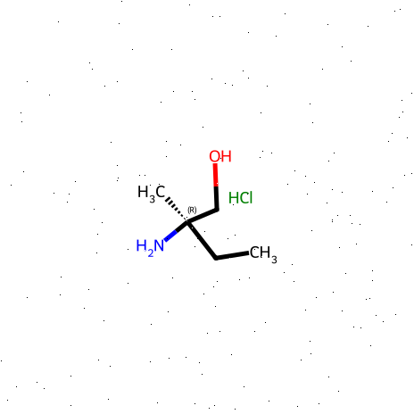 CC[C@@](C)(N)CO.Cl